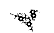 COC(=O)Nc1ccc(S(=O)(=O)C(C)C)c([C@@H](CC(=O)O)NC(=O)[C@H](Nc2ccc3c(N)nccc3c2)c2cccc(OC(F)F)c2)c1